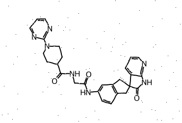 O=C(CNC(=O)C1CCN(c2ncccn2)CC1)Nc1ccc2c(c1)CC1(C2)C(=O)Nc2ncccc21